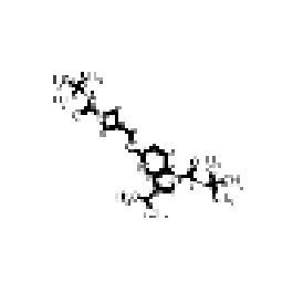 CC(C)c1cn(C(=O)OC(C)(C)C)c2ccc(OCC3CN(C(=O)OC(C)(C)C)C3)nc12